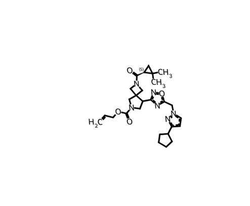 C=CCOC(=O)N1CC(c2noc(Cn3ccc(C4CCCC4)n3)n2)C2(C1)CN(C(=O)[C@H]1CC1(C)C)C2